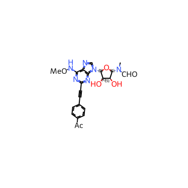 CONc1nc(C#Cc2ccc(C(C)=O)cc2)nc2c1ncn2[C@@H]1O[C@H](N(C)C=O)[C@@H](O)[C@H]1O